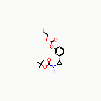 CCCOC(=O)Oc1cccc([C@@H]2C[C@H]2NC(=O)OC(C)(C)C)c1